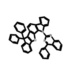 c1ccc(-c2nc(-n3c4ccccc4c4ccc5c6c(oc5c43)-c3ccccc3C6(c3ccccc3)c3ccccc3)nc3ccccc23)cc1